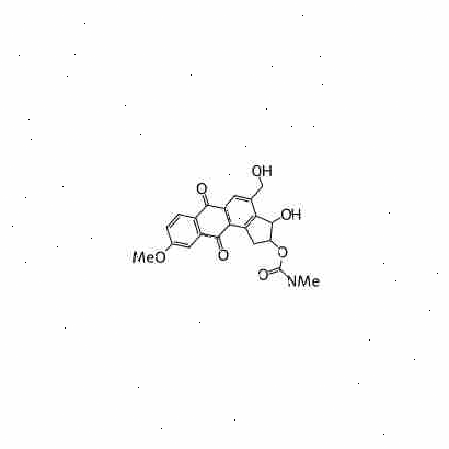 CNC(=O)OC1Cc2c3c(cc(CO)c2C1O)C(=O)c1ccc(OC)cc1C3=O